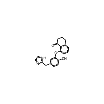 N#Cc1ccc(Cc2ncc[nH]2)cc1Oc1cccc2c1C(=O)CCC2